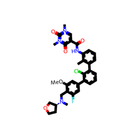 COc1cc(-c2cccc(-c3cccc(NC(=O)c4cn(C)c(=O)n(C)c4=O)c3C)c2Cl)cc(F)c1CN(C)[C@@H]1CCOC1